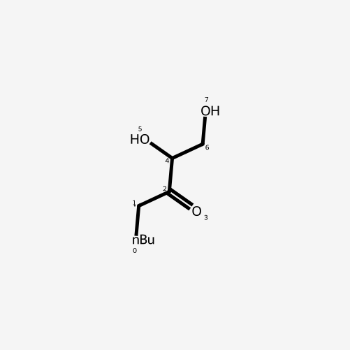 CCCC[CH]C(=O)C(O)CO